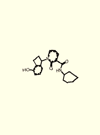 O=C(NC1CCCCC1)c1cccn(C2CCc3c(O)cccc32)c1=O